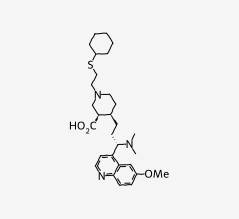 COc1ccc2nccc([C@H](CC[C@@H]3CCN(CCSC4CCCCC4)C[C@@H]3C(=O)O)N(C)C)c2c1